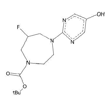 CC(C)(C)OC(=O)N1CCN(c2ncc(O)cn2)CC(F)C1